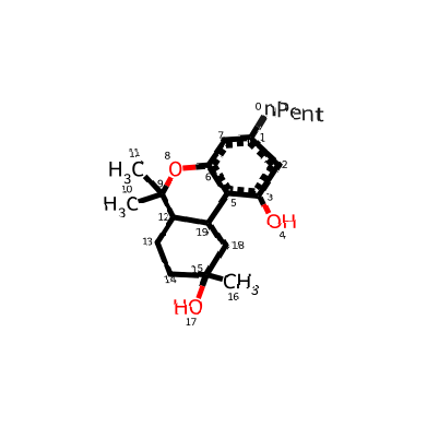 CCCCCc1cc(O)c2c(c1)OC(C)(C)C1CCC(C)(O)CC21